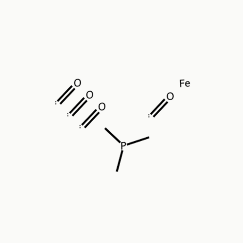 CP(C)C.[C]=O.[C]=O.[C]=O.[C]=O.[Fe]